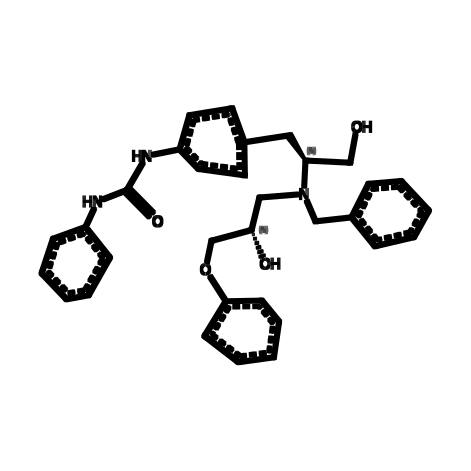 O=C(Nc1ccccc1)Nc1ccc(C[C@@H](CO)N(Cc2ccccc2)C[C@H](O)COc2ccccc2)cc1